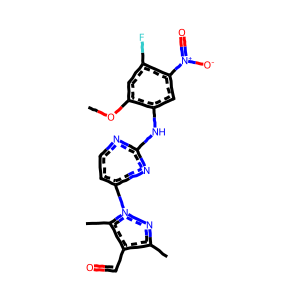 COc1cc(F)c([N+](=O)[O-])cc1Nc1nccc(-n2nc(C)c(C=O)c2C)n1